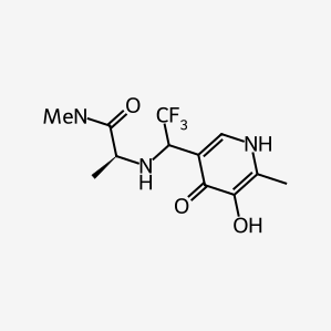 CNC(=O)[C@H](C)NC(c1c[nH]c(C)c(O)c1=O)C(F)(F)F